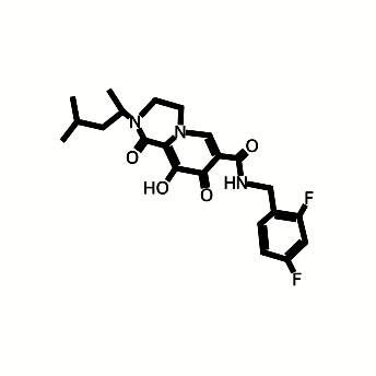 CC(C)CC(C)N1CCn2cc(C(=O)NCc3ccc(F)cc3F)c(=O)c(O)c2C1=O